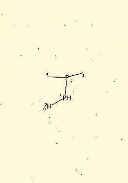 [2H]PP(C)C